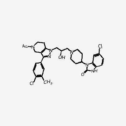 CC(=O)N1CCc2c(c(-c3ccc(Cl)c(C)c3)nn2C[C@H](O)CN2CCC(n3c(=O)[nH]c4ccc(Cl)cc43)CC2)C1